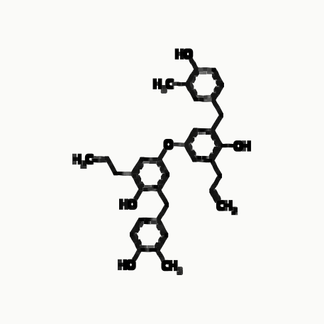 C=CCc1cc(Oc2cc(CC=C)c(O)c(Cc3ccc(O)c(C)c3)c2)cc(Cc2ccc(O)c(C)c2)c1O